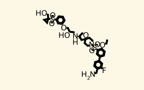 CCOc1ccc(-c2ccc(CN)c(F)c2)cc1S(=O)(=O)N1CCC2(CC1)C[C@H](NCC(O)COc1cccc(S(=O)(=O)C3(CO)CC3)c1)CO2